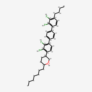 CCCCCCCC1CCC(c2ccc(-c3ccc(-c4ccc(CCCC)c(F)c4F)cc3)c(F)c2F)CO1